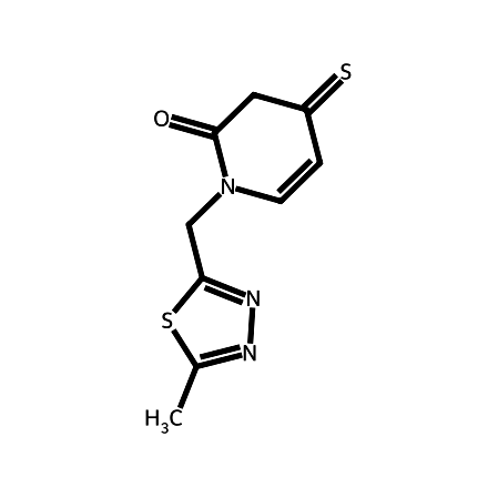 Cc1nnc(CN2C=CC(=S)CC2=O)s1